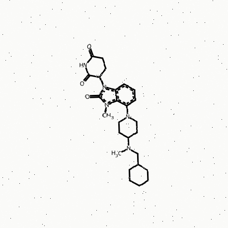 CN(CC1CCCCC1)C1CCN(c2cccc3c2n(C)c(=O)n3C2CCC(=O)NC2=O)CC1